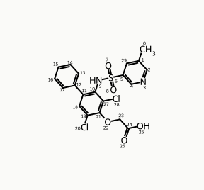 Cc1cncc(S(=O)(=O)Nc2c(-c3ccccc3)cc(Cl)c(OCC(=O)O)c2Cl)c1